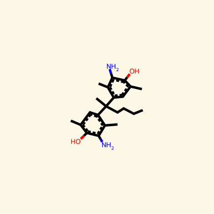 CCCCC(C)(c1cc(C)c(O)c(N)c1C)c1cc(C)c(O)c(N)c1C